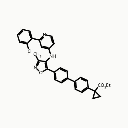 CCOC(=O)C1(c2ccc(-c3ccc(-c4onc(C)c4Nc4ccnc(-c5ccccc5Cl)c4)cc3)cc2)CC1